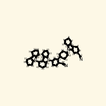 N#Cc1ccc2c3ccccc3n(-c3ccc(-c4cc(-n5c6ccccc6c6c(-n7c8ccccc8c8ccccc87)cccc65)ccc4C#N)cc3)c2c1